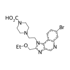 CCOCc1nc2cnc3cc(Br)ccc3c2n1CCN1CCN(C(=O)O)CC1